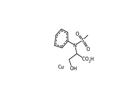 CS(=O)(=O)N(c1ccccc1)C(CO)C(=O)O.[Cu]